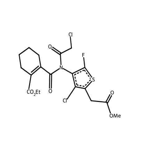 CCOC(=O)C1=C(C(=O)N(C(=O)CCl)c2c(F)sc(CC(=O)OC)c2Cl)CCCC1